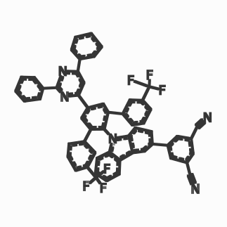 N#Cc1cc(C#N)cc(-c2ccc3c(c2)c2ccccc2n3-c2c(-c3cccc(C(F)(F)F)c3)cc(-c3cc(-c4ccccc4)nc(-c4ccccc4)n3)cc2-c2cccc(C(F)(F)F)c2)c1